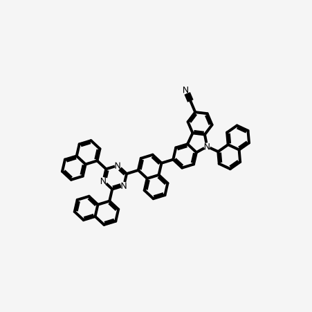 N#Cc1ccc2c(c1)c1cc(-c3ccc(-c4nc(-c5cccc6ccccc56)nc(-c5cccc6ccccc56)n4)c4ccccc34)ccc1n2-c1cccc2ccccc12